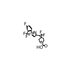 O=C(O)N1CCC2(CC1)C(c1ccn(-c3ccc(F)cc3C(F)(F)F)n1)C2(F)F